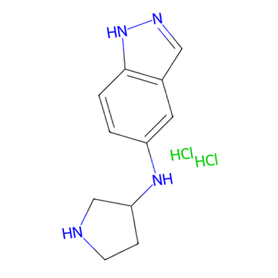 Cl.Cl.c1cc2[nH]ncc2cc1NC1CCNC1